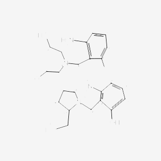 Nc1cccc(O)c1CN(CCO)CCO.Nc1cccc(O)c1CN1CCCC1CO